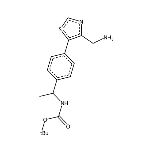 CC(NC(=O)OC(C)(C)C)c1ccc(-c2scnc2CN)cc1